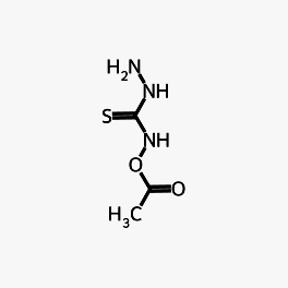 CC(=O)ONC(=S)NN